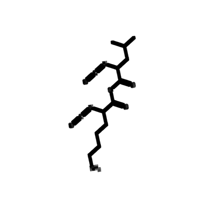 CC(C)CC(N=C=O)C(=O)OC(=O)C(CCCCN)N=C=O